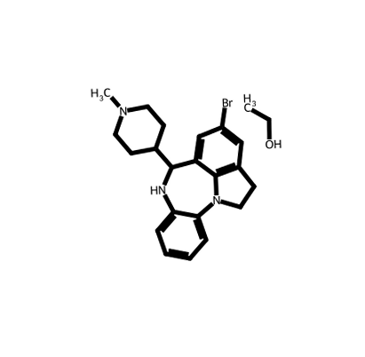 CCO.CN1CCC(C2Nc3ccccc3N3CCc4cc(Br)cc2c43)CC1